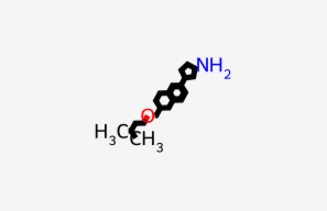 CC(C)CCOCC1CCc2cc(C3CC[C@@H](N)C3)ccc2C1